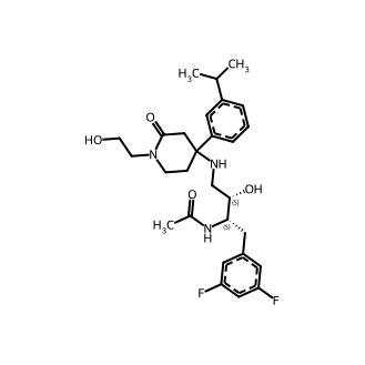 CC(=O)N[C@@H](Cc1cc(F)cc(F)c1)[C@@H](O)CNC1(c2cccc(C(C)C)c2)CCN(CCO)C(=O)C1